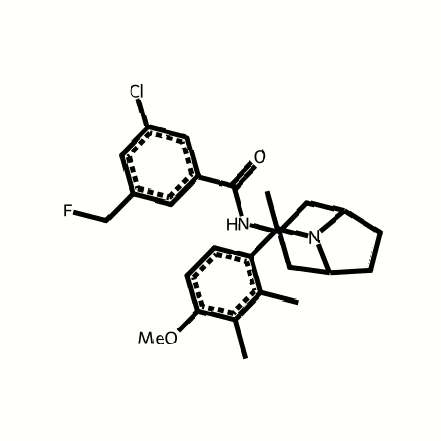 COc1ccc(C(C)N2C3CCC2CC(NC(=O)c2cc(Cl)cc(CF)c2)C3)c(C)c1C